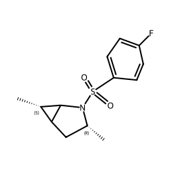 C[C@H]1C2C[C@@H](C)N(S(=O)(=O)c3ccc(F)cc3)C21